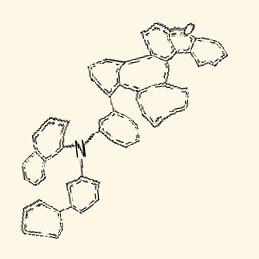 c1ccc(-c2cccc(N(c3cccc(-c4cccc5c6ccc7oc8ccccc8c7c6c6ccccc6c45)c3)c3cccc4ccccc34)c2)cc1